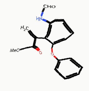 C=C(C(=O)OC)c1c(NC=O)cccc1Oc1ccccc1